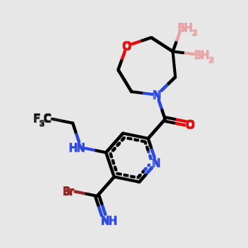 BC1(B)COCCN(C(=O)c2cc(NCC(F)(F)F)c(C(=N)Br)cn2)C1